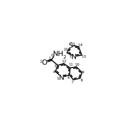 NC(=O)c1cnc2ccccc2c1.c1cscn1